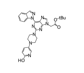 CC(C)(C)OC(=O)Cn1cnc2c(-n3ncc4ccccc43)nc(N3CCN(c4ccc(O)nc4)CC3)nc21